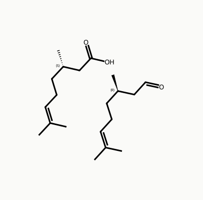 CC(C)=CCC[C@@H](C)CC=O.CC(C)=CCC[C@H](C)CC(=O)O